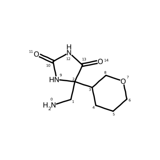 NCC1(C2CCCOC2)NC(=O)NC1=O